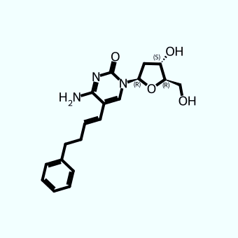 Nc1nc(=O)n([C@H]2C[C@H](O)[C@@H](CO)O2)cc1C=CCCc1ccccc1